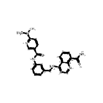 CN(C)c1ccc(C(=O)Nc2cccc(CNc3ncnc4c(C(N)=O)cccc34)c2)cn1